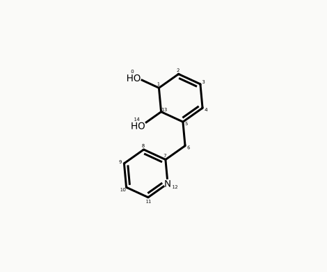 OC1C=CC=C(Cc2ccccn2)C1O